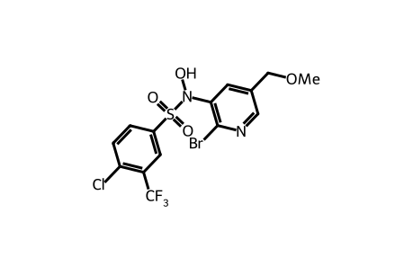 COCc1cnc(Br)c(N(O)S(=O)(=O)c2ccc(Cl)c(C(F)(F)F)c2)c1